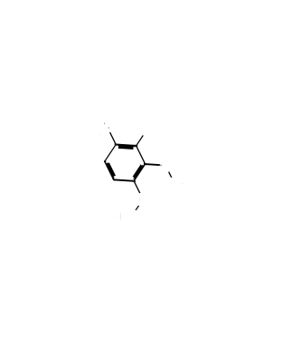 COc1ccc(N)c(Cl)c1OC